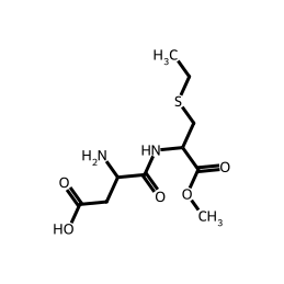 CCSCC(NC(=O)C(N)CC(=O)O)C(=O)OC